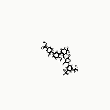 COC(=O)c1ccc(-c2ccc(OC)c(C3=C(CN4C(=O)O[C@H](c5cc(C(F)(F)F)cc(C(F)(F)F)c5)C4C)CC(C)(C)CC3)c2)c(C)n1